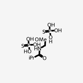 COCNC(=O)C(C)C.OP(O)(O)=S.OP(O)(O)=S